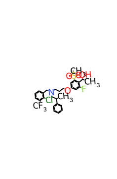 CC(O)c1c(F)cc(OCCCN(Cc2cccc(C(F)(F)F)c2Cl)CC(C)c2ccccc2)cc1S(C)(=O)=O